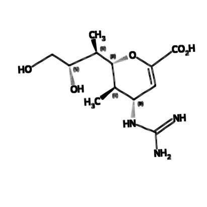 C[C@@H]([C@@H]1OC(C(=O)O)=C[C@H](NC(=N)N)[C@H]1C)[C@H](O)CO